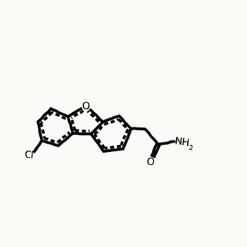 NC(=O)Cc1ccc2c(c1)oc1ccc(Cl)cc12